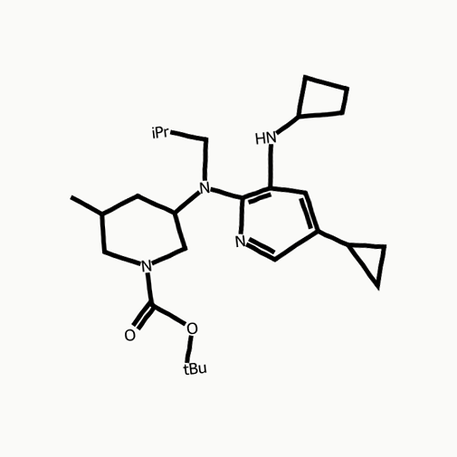 CC(C)CN(c1ncc(C2CC2)cc1NC1CCC1)C1CC(C)CN(C(=O)OC(C)(C)C)C1